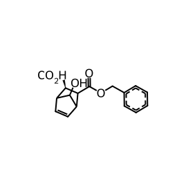 O=C(OCc1ccccc1)C1C2C=CC(C2O)[C@H]1C(=O)O